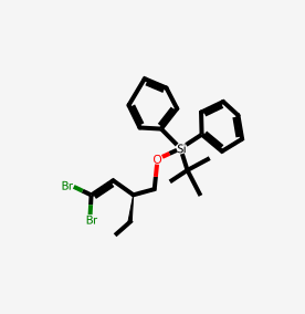 CC[C@@H](C=C(Br)Br)CO[Si](c1ccccc1)(c1ccccc1)C(C)(C)C